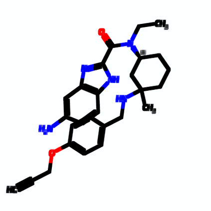 C#CCOc1ccc(CNC2(C)CCC[C@H](N(CC)C(=O)c3nc4cc(N)ccc4[nH]3)C2)cc1